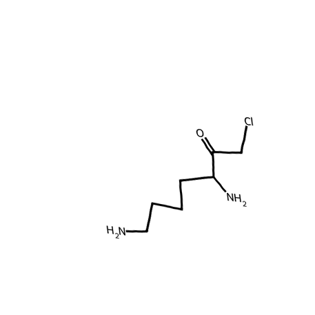 NCCCCC(N)C(=O)CCl